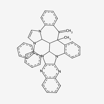 C=C1c2ccccc2N2C=CN(c3ccccc3)C2C2C3N(c4ccccc4)c4nc5ccccc5nc4N3c3ccccc3C12C